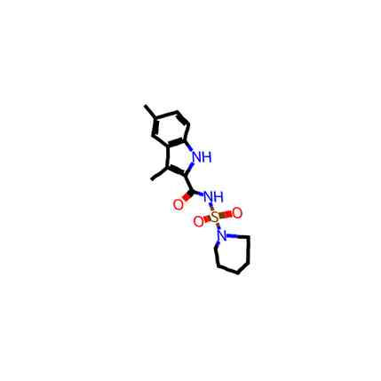 Cc1ccc2[nH]c(C(=O)NS(=O)(=O)N3CCCCC3)c(C)c2c1